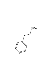 CNCCc1cc[c]cc1